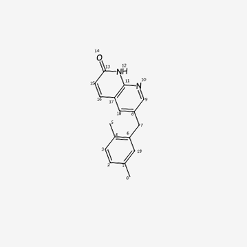 Cc1ccc(C)c(Cc2cnc3[nH]c(=O)ccc3c2)c1